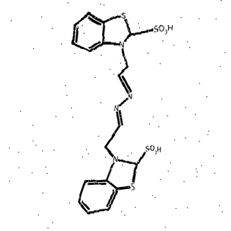 O=S(=O)(O)C1Sc2ccccc2N1CC=NN=CCN1c2ccccc2SC1S(=O)(=O)O